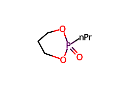 CCCP1(=O)OCCCO1